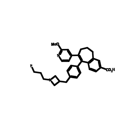 COc1cc(C2=C(c3ccc(CC4CN(CCCF)C4)cc3)c3ccc(C(=O)O)cc3CCC2)ccn1